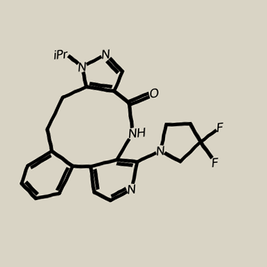 CC(C)n1ncc2c1CCc1ccccc1-c1ccnc(N3CCC(F)(F)C3)c1NC2=O